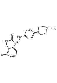 CN1CCN(c2ccc(NC=C3C(=O)NCc4c(Br)cccc43)cc2)CC1